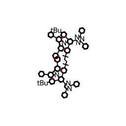 CC(C)(C)c1ccc(-c2cc(-c3cc(-c4ccccc4)nc(-c4ccccc4)n3)cc(-c3ccc(C(C)(C)CCC(C)(C)c4ccc(-c5cc(-c6nc(-c7ccccc7)nc(-c7ccccc7)n6)cc(-c6ccc(C(C)(C)C)cc6)c5-n5c6ccc(-c7ccccc7)cc6c6cc(-c7ccccc7)ccc65)cc4)cc3)c2-n2c3ccc(-c4ccccc4)cc3c3cc(-c4ccccc4)ccc32)cc1